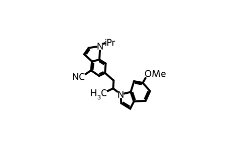 COc1ccc2ccn(C(C)Cc3cc(C#N)c4ccn(C(C)C)c4c3)c2c1